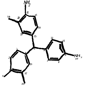 Cc1ccc(C(c2ccc(N)cc2)c2ccc(N)c(C)c2)cc1C